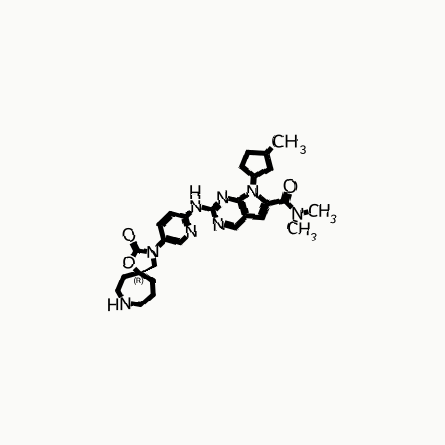 CC1CCC(n2c(C(=O)N(C)C)cc3cnc(Nc4ccc(N5C[C@]6(CCCNCC6)OC5=O)cn4)nc32)C1